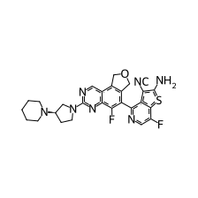 N#Cc1c(N)sc2c(F)cnc(-c3c4c(c5cnc(N6CC[C@@H](N7CCCCC7)C6)nc5c3F)COC4)c12